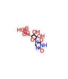 O=c1ncn([C@@H]2O[C@H](COP(=O)(O)O)[C@@H](O)[C@H]2O)c(=O)[nH]1